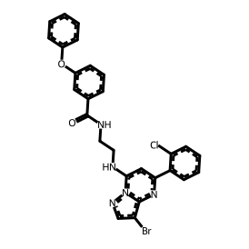 O=C(NCCNc1cc(-c2ccccc2Cl)nc2c(Br)cnn12)c1cccc(Oc2ccccc2)c1